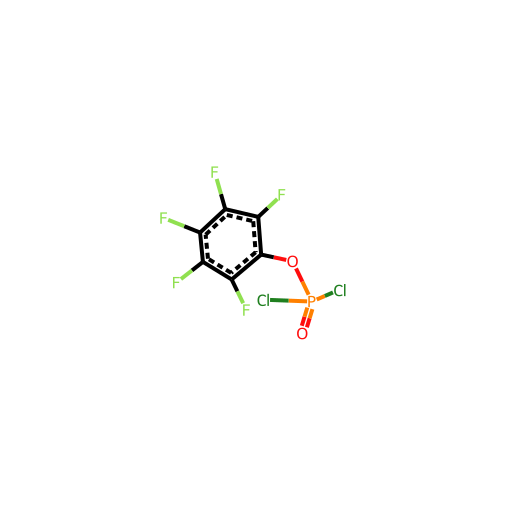 O=P(Cl)(Cl)Oc1c(F)c(F)c(F)c(F)c1F